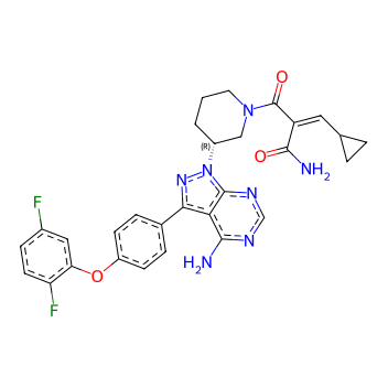 NC(=O)C(=CC1CC1)C(=O)N1CCC[C@@H](n2nc(-c3ccc(Oc4cc(F)ccc4F)cc3)c3c(N)ncnc32)C1